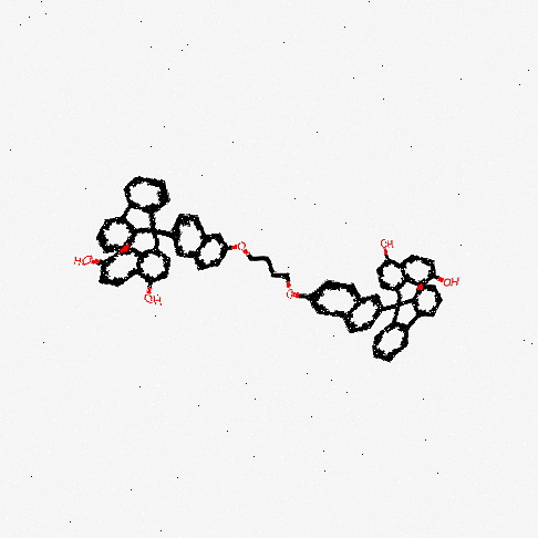 Oc1ccc2c(O)ccc(C3(c4ccc5cc(OCCCCOc6ccc7cc(C8(c9ccc(O)c%10ccc(O)cc9%10)c9ccccc9-c9ccccc98)ccc7c6)ccc5c4)c4ccccc4-c4ccccc43)c2c1